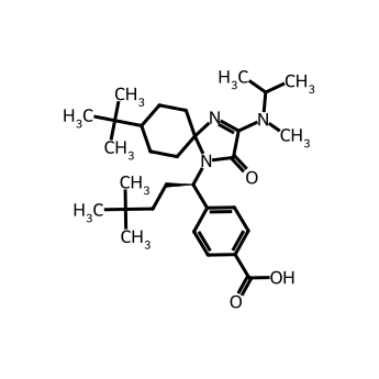 CC(C)N(C)C1=NC2(CCC(C(C)(C)C)CC2)N([C@H](CCC(C)(C)C)c2ccc(C(=O)O)cc2)C1=O